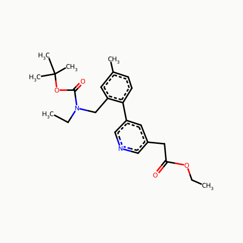 CCOC(=O)Cc1cncc(-c2ccc(C)cc2CN(CC)C(=O)OC(C)(C)C)c1